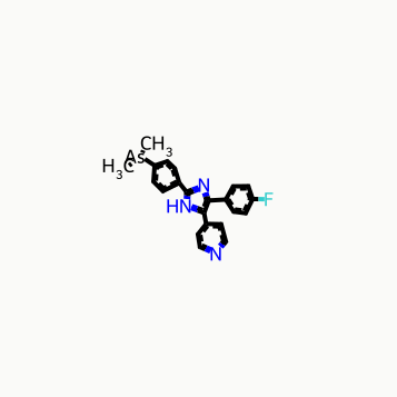 C[As](C)c1ccc(-c2nc(-c3ccc(F)cc3)c(-c3ccncc3)[nH]2)cc1